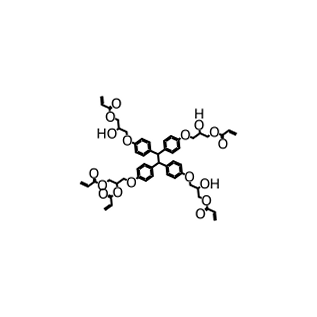 C=CC(=O)OCC(O)COc1ccc(C(c2ccc(OCC(O)COC(=O)C=C)cc2)C(c2ccc(OCC(O)COC(=O)C=C)cc2)c2ccc(OCC(COC(=O)C=C)OC(=O)C=C)cc2)cc1